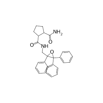 NC(=O)C1CCCC1C(=O)NCC1(c2ccccc2)OC1(c1ccccc1)c1ccccc1